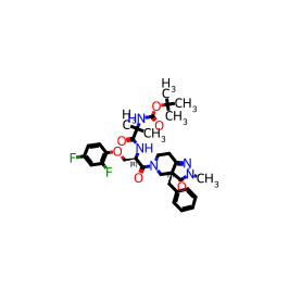 CN1N=C2CCN(C(=O)[C@@H](COc3ccc(F)cc3F)NC(=O)C(C)(C)NC(=O)OC(C)(C)C)C[C@@]2(Cc2ccccc2)C1=O